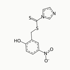 O=[N+]([O-])c1ccc(O)c(CSC(=S)n2ccnc2)c1